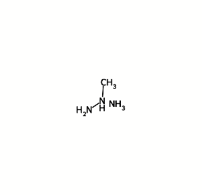 CNN.N